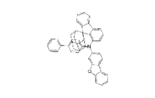 c1ccc(-c2ccc(N(c3ccc4c(c3)oc3ccccc34)c3cccc4c3C3(c5ccccc5-4)C4CC5CC(C4)CC3C5)cc2)cc1